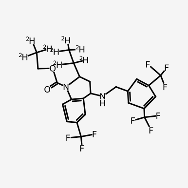 [2H]C([2H])([2H])COC(=O)N1c2ccc(C(F)(F)F)cc2C(NCc2cc(C(F)(F)F)cc(C(F)(F)F)c2)CC1C([2H])([2H])C([2H])([2H])[2H]